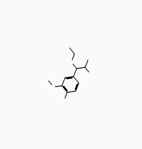 CCOC(c1ccc(O)c(OC)c1)C(C)O